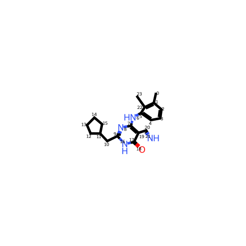 Cc1cccc(Nc2nc(CC3CCCC3)[nH]c(=O)c2C=N)c1C